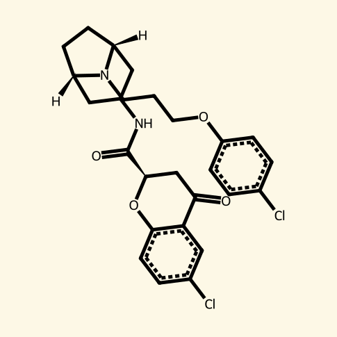 O=C1C[C@H](C(=O)NC2C[C@H]3CC[C@@H](C2)N3CCCOc2ccc(Cl)cc2)Oc2ccc(Cl)cc21